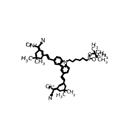 [C-]#[N+]/C(C#N)=C1C=C(/C=C/c2ccc3c(c2)c2cc(/C=C/C4=CC(=C(\C#N)[N+]#[C-])/CC(C)(C)C4)ccc2n3CCCCCCB2OC(C)(C)C(C)(C)O2)CC(C)(C)C\1